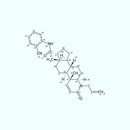 C=CCN1C(=O)C=C[C@]2(C)[C@H]3CC[C@]4(C)[C@H](C(=O)Nc5ccccc5C#N)CC[C@H]4[C@@H]3CC[C@@H]12